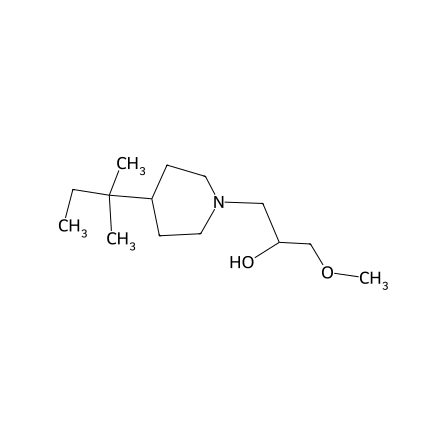 CCC(C)(C)C1CCN(CC(O)COC)CC1